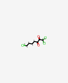 O=C(CCCCCl)C(=O)C(Cl)Cl